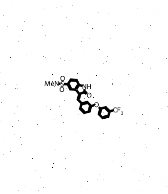 CNS(=O)(=O)c1ccc2c(c1)C(=Cc1cccc(Oc3cccc(C(F)(F)F)c3)c1)C(=O)N2